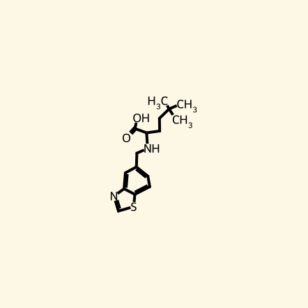 CC(C)(C)CCC(NCc1ccc2scnc2c1)C(=O)O